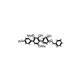 COc1cc(-c2ccc(C(C)C)cc2)c(OC)c(O)c1-c1ccc(OCc2ccccc2)c(O)c1